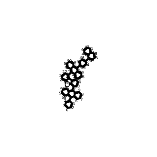 c1ccc(-c2c3ccccc3c(-c3cccc4c3oc3cccc(-c5c6ccccc6c(-c6ccc(-c7cccc8ccccc78)cc6)c6ccccc56)c34)c3ccccc23)cc1